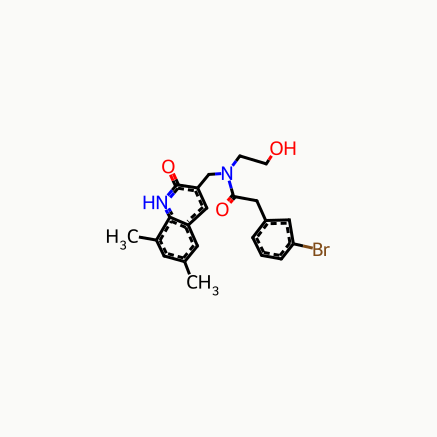 Cc1cc(C)c2[nH]c(=O)c(CN(CCO)C(=O)Cc3cccc(Br)c3)cc2c1